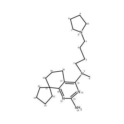 CN(CCCCN1CCCC1)c1nc(N)nc2c1CCCC21CCCC1